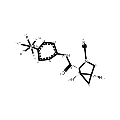 N#CN1C[C@H]2C[C@H]2[C@@H]1C(=O)Nc1ccc(S(F)(F)(F)(F)F)cc1